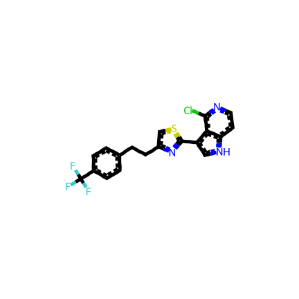 FC(F)(F)c1ccc(CCc2csc(-c3c[nH]c4ccnc(Cl)c34)n2)cc1